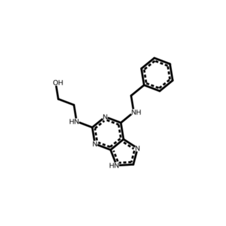 OCCNc1nc(NCc2ccccc2)c2nc[nH]c2n1